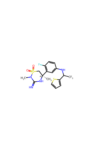 CN1C(=N)N[C@](C)(c2cc(NC(c3cccs3)C(F)(F)F)ccc2F)CS1(=O)=O